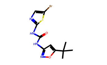 CC(C)(C)c1cc(NC(=O)Nc2ncc(Br)s2)no1